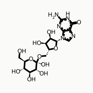 Nc1nc2c(ncn2[C@@H]2O[C@H](CO[C@]3(O)O[C@H](CO)[C@@H](O)[C@H](O)[C@H]3O)[C@@H](O)[C@H]2O)c(=O)[nH]1